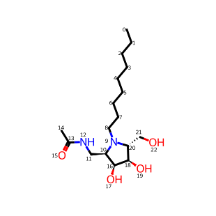 CCCCCCCCCN1[C@H](CNC(C)=O)[C@H](O)[C@H](O)[C@H]1CO